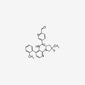 Cc1ccccc1-c1ccnc(N2CCC(C)(F)C2)c1NC(=O)c1ccc(C=O)nc1